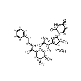 NC(=O)[C@H](O[C@H]1OC(C(=O)NCCc2ccccc2)=C[C@H](O)[C@@H]1O)C1O[C@@H](n2ccc(=O)[nH]c2=O)[C@H](O)[C@@H]1CO